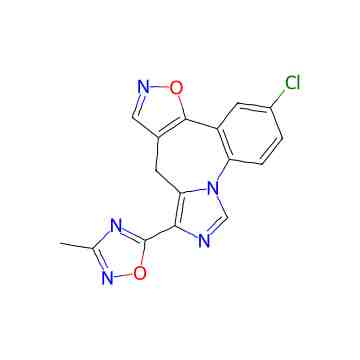 Cc1noc(-c2ncn3c2Cc2cnoc2-c2cc(Cl)ccc2-3)n1